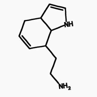 NCCC1C=CCC2C=CNC21